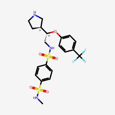 CNS(=O)(=O)c1ccc(S(=O)(=O)NC[C@@H](Oc2ccc(C(F)(F)F)cc2)[C@H]2CCNC2)cc1